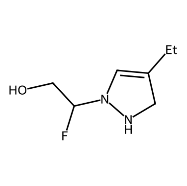 CCC1=CN(C(F)CO)NC1